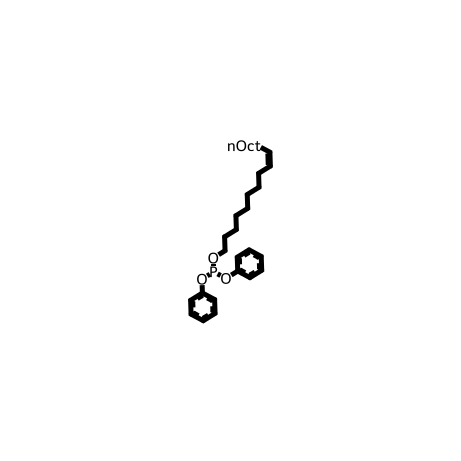 CCCCCCCC/C=C\CCCCCCCCOP(Oc1ccccc1)Oc1ccccc1